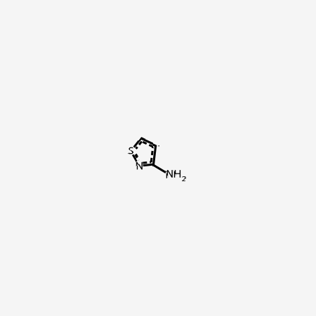 Nc1[c]csn1